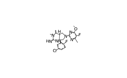 C=C1[C@@H]2CN(c3nc(C)c(F)c(OC)n3)C[C@]2(c2cc(Cl)ccc2F)NC(=N)N1C